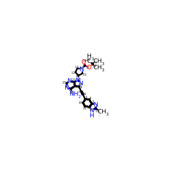 Cc1nc2cc(C#Cc3nn([C@H]4CCN(C(=O)OC(C)(C)C)C4)c4ncnc(N)c34)ccc2[nH]1